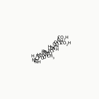 CCC(C)[C@H](NC(=O)C(N)Cc1cnc[nH]1)C(=O)N(C)[C@H](C(=O)Nc1nc(C(=O)N[C@@H](CC(=O)O)C(=O)NCC(=O)O)cs1)C(C)C